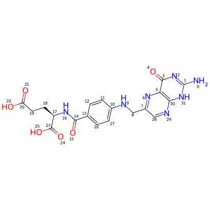 Nc1nc(=O)c2nc(CNc3ccc(C(=O)N[C@H](CCC(=O)O)C(=O)O)cc3)cnc2[nH]1